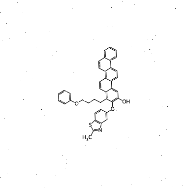 Cc1nc2cc(Oc3c(O)cc4c(ccc5c4ccc4c6ccccc6ccc45)c3CCCCOc3ccccc3)ccc2s1